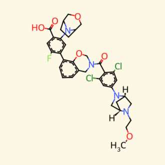 COCCN1C[C@@H]2C[C@H]1CN2c1cc(Cl)c(C(=O)N2COc3c(cccc3-c3cc(N4C5CCC4COC5)c(C(=O)O)cc3F)C2)c(Cl)c1